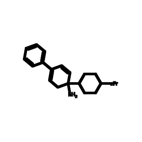 CCCC1CCC(C2(N)C=CC(c3ccccc3)=CC2)CC1